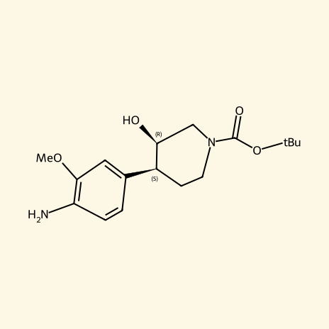 COc1cc([C@@H]2CCN(C(=O)OC(C)(C)C)C[C@@H]2O)ccc1N